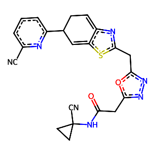 N#Cc1cccc(C2C=c3sc(Cc4nnc(CC(=O)NC5(C#N)CC5)o4)nc3=CC2)n1